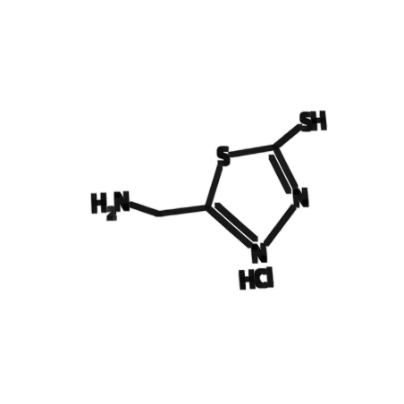 Cl.NCc1nnc(S)s1